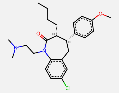 CCCC[C@H]1C(=O)N(CCN(C)C)c2ccc(Cl)cc2C[C@H]1c1ccc(OC)cc1